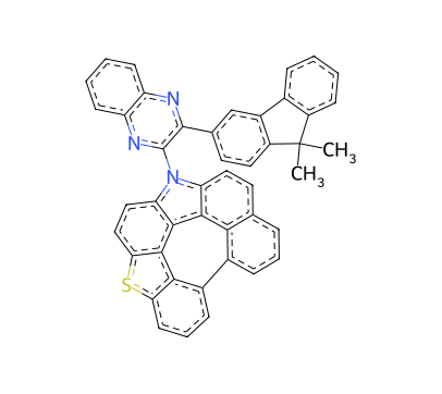 CC1(C)c2ccccc2-c2cc(-c3nc4ccccc4nc3-n3c4ccc5cccc6c5c4c4c5c(ccc43)sc3cccc-6c35)ccc21